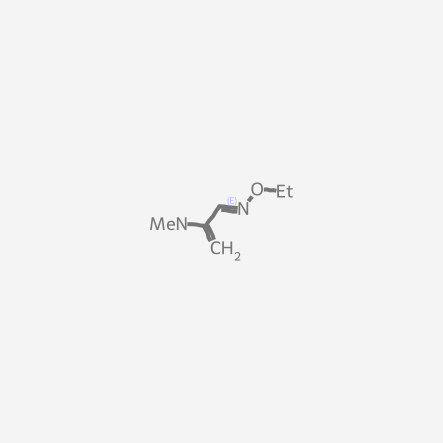 C=C(/C=N/OCC)NC